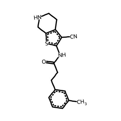 Cc1cccc(CCC(=O)Nc2sc3c(c2C#N)CCNC3)c1